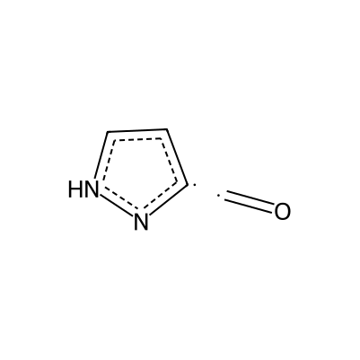 [CH]=O.[c]1cc[nH]n1